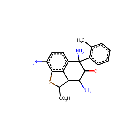 Cc1ccccc1C1(N)C(=O)C(N)C2c3c1ccc(N)c3SC2C(=O)O